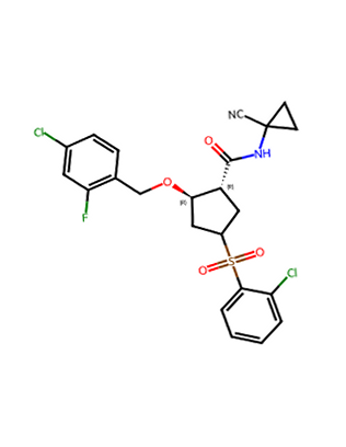 N#CC1(NC(=O)[C@@H]2CC(S(=O)(=O)c3ccccc3Cl)C[C@H]2OCc2ccc(Cl)cc2F)CC1